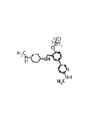 CNc1ccc(-c2ccc(OC)c(CNC3CCC(NC)CC3)c2)cn1.Cl.Cl